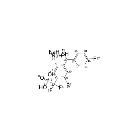 O=P(O)(O)C(F)(F)c1ccc(C(S)c2ccc(F)cc2)cc1Br.[NaH].[NaH]